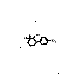 O=CC1N(c2ccc([N+](=O)[O-])cc2)CCCC1(Cl)Cl